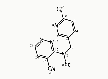 CCN(Cc1ccc(Cl)nc1)c1ncccc1C#N